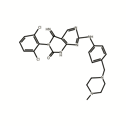 CN1CCN(Cc2ccc(Nc3ncc4c(=N)n(-c5c(Cl)cccc5Cl)c(=O)[nH]c4n3)cc2)CC1